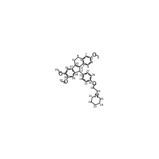 COc1ccc2c(c1)CCC1=C2C(c2ccc(OCCN3CCCCC3)cc2)c2cc(OC)c(OC)cc21